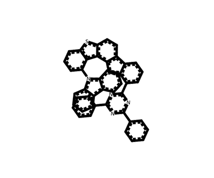 c1ccc(-c2nc(-c3ccccc3)nc(-c3cccc4c3sc3c4ccc4sc5cccc(-n6c7ccccc7c7ccccc76)c5c43)n2)cc1